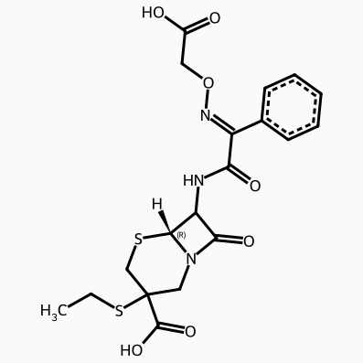 CCSC1(C(=O)O)CS[C@@H]2C(NC(=O)C(=NOCC(=O)O)c3ccccc3)C(=O)N2C1